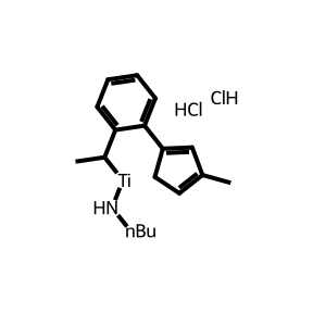 CCCC[NH][Ti][CH](C)c1ccccc1C1=CC(C)=CC1.Cl.Cl